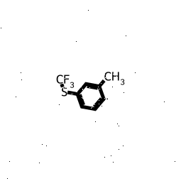 Cc1[c]ccc(SC(F)(F)F)c1